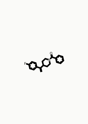 C=C(c1ccc(F)cc1)C1CCN(C(=O)c2ccccc2)CC1